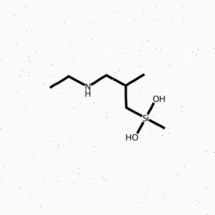 CCNCC(C)C[Si](C)(O)O